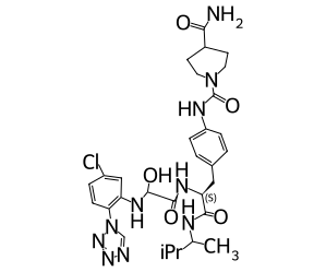 CC(C)C(C)NC(=O)[C@H](Cc1ccc(NC(=O)N2CCC(C(N)=O)CC2)cc1)NC(=O)C(O)Nc1cc(Cl)ccc1-n1cnnn1